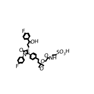 O=C(COC1(CCc2ccc([C@@H]3[C@@H](CC[C@H](O)c4ccc(F)cc4)C(=O)N3c3ccc(F)cc3)cc2)COC1)NCCS(=O)(=O)O